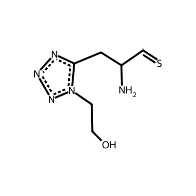 NC([C]=S)Cc1nnnn1CCO